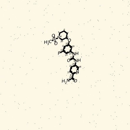 CS(=O)(=O)N1CCCC(Oc2cc(F)cc(NC(=O)Nc3ccc(C(N)=O)nc3)c2)C1